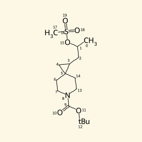 CC(CC1CC12CCN(C(=O)OC(C)(C)C)CC2)OS(C)(=O)=O